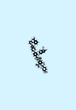 Cc1cc2cc(Oc3cc(N4CCC5(CC4)CC(N4CCC[C@H]4c4ccccc4C(C)C)C5)ccc3C(=O)NS(=O)(=O)c3cc4c(c([N+](=O)[O-])c3)N[C@@H]([C@H]3CC[C@](C)(O)CC3)CO4)cnc2[nH]1